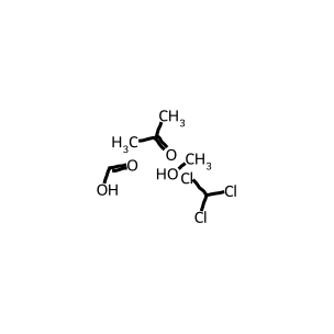 CC(C)=O.CO.ClC(Cl)Cl.O=CO